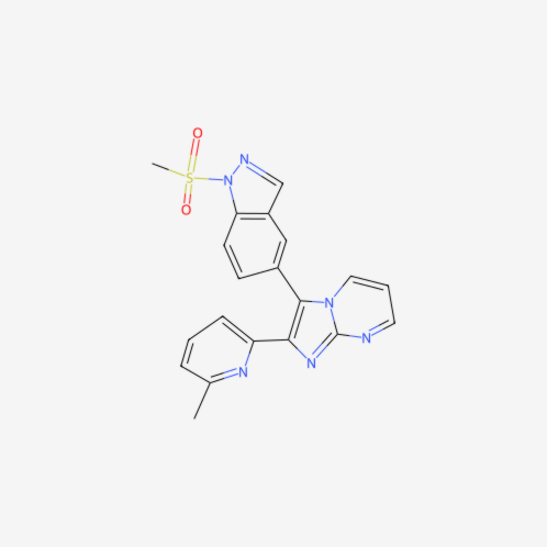 Cc1cccc(-c2nc3ncccn3c2-c2ccc3c(cnn3S(C)(=O)=O)c2)n1